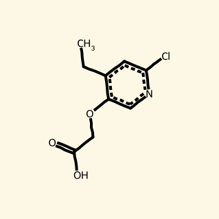 CCc1cc(Cl)ncc1OCC(=O)O